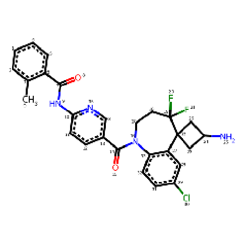 Cc1ccccc1C(=O)Nc1ccc(C(=O)N2CCC(F)(F)C3(CC(N)C3)c3cc(Cl)ccc32)cn1